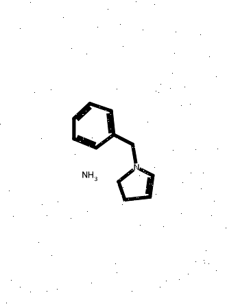 C1=CN(Cc2ccccc2)CC1.N